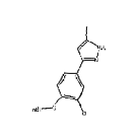 CCCCOc1ccc(-c2cc(C)[nH]n2)cc1Cl